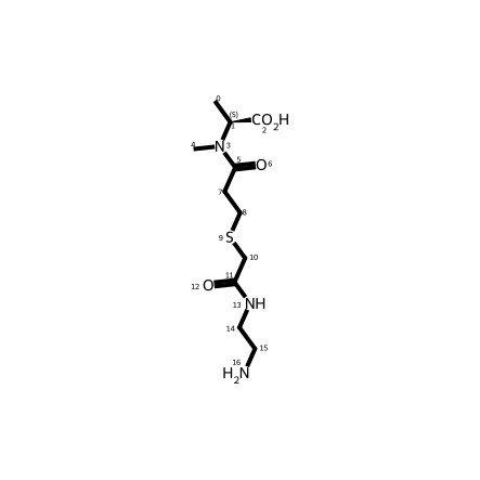 C[C@@H](C(=O)O)N(C)C(=O)CCSCC(=O)NCCN